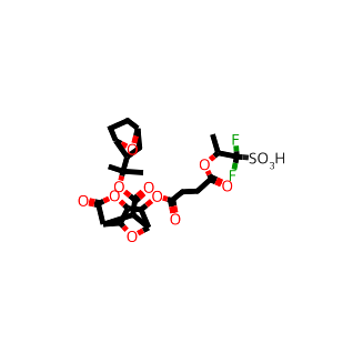 CC(OC(=O)CCC(=O)OC1C2OC(=O)C3C2OC1C3C(=O)OC(C)(C)C1CC2CCC1O2)C(F)(F)S(=O)(=O)O